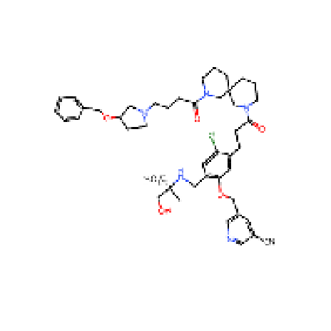 C[C@@](CO)(NCc1cc(Cl)c(CCC(=O)N2CCCC3(CCCN(C(=O)CCCN4CC[C@@H](OCc5ccccc5)C4)C3)C2)cc1OCc1cncc(C#N)c1)C(=O)O